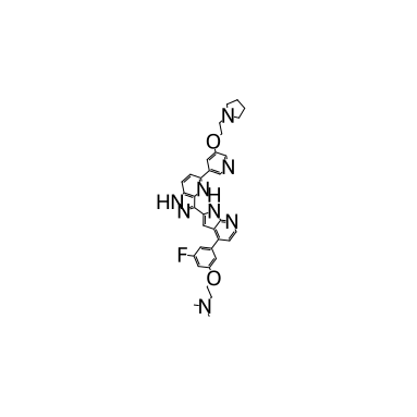 CN(C)CCOc1cc(F)cc(-c2ccnc3[nH]c(-c4n[nH]c5ccc(-c6cncc(OCCN7CCCC7)c6)nc45)cc23)c1